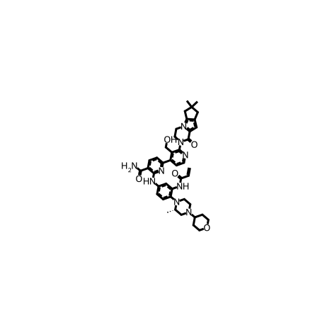 C=CC(=O)Nc1cc(Nc2nc(-c3ccnc(N4CCn5c(cc6c5CC(C)(C)C6)C4=O)c3CO)ccc2C(N)=O)ccc1N1CCN(C2CCOCC2)C[C@@H]1C